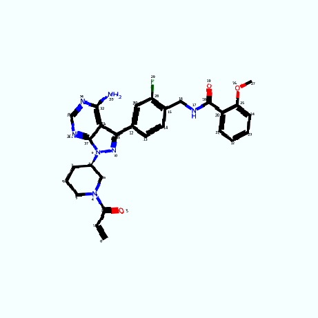 C=CC(=O)N1CCC[C@@H](n2nc(-c3ccc(CNC(=O)c4ccccc4OC)c(F)c3)c3c(N)ncnc32)C1